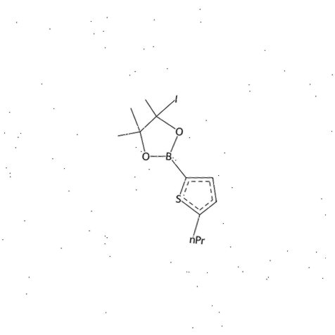 CCCc1ccc(B2OC(C)(C)C(C)(I)O2)s1